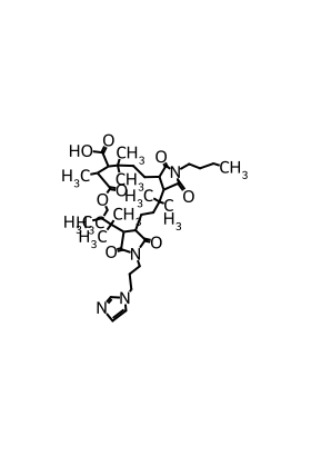 CCCCN1C(=O)C(CCC(C)(C)C(C(=O)O)C(C)C(=O)OCC)C(C(C)(C)CCC2C(=O)N(CCCn3ccnc3)C(=O)C2C(C)(C)CC)C1=O